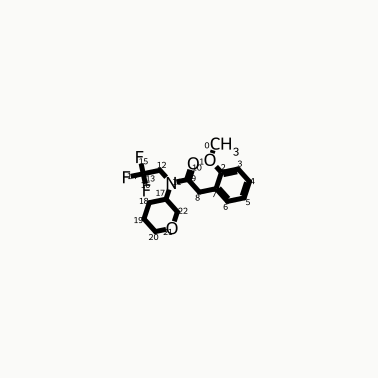 COc1ccccc1CC(=O)N(CC(F)(F)F)C1CCCOC1